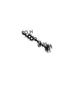 CCO[Si](CCCNC(=O)OCCCOc1ccc2cc(CC=CC(=O)O)ccc2c1)(OCC)OCC